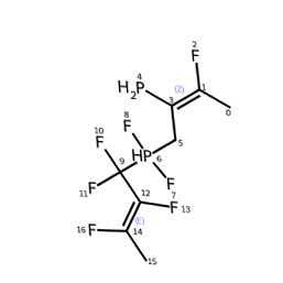 C/C(F)=C(/P)C[PH](F)(F)C(F)(F)/C(F)=C(/C)F